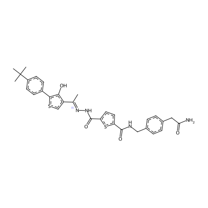 C/C(=N\NC(=O)c1ccc(C(=O)NCc2ccc(CC(N)=O)cc2)s1)c1csc(-c2ccc(C(C)(C)C)cc2)c1O